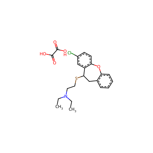 CCN(CC)CCSC1Cc2ccccc2Oc2ccc(Cl)cc21.O=C(O)C(=O)O